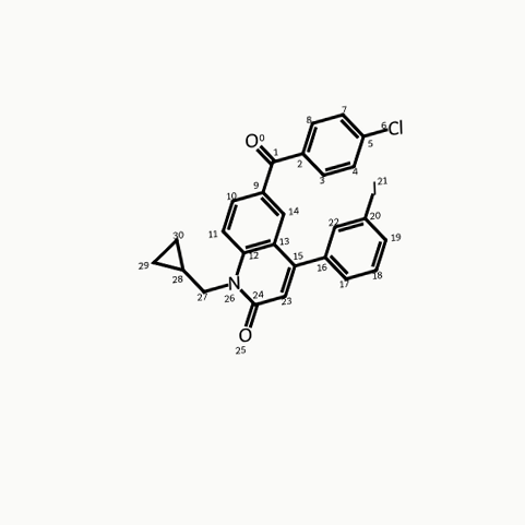 O=C(c1ccc(Cl)cc1)c1ccc2c(c1)c(-c1cccc(I)c1)cc(=O)n2CC1CC1